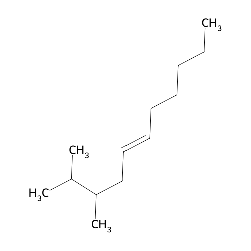 CCCCC/C=C/CC(C)C(C)C